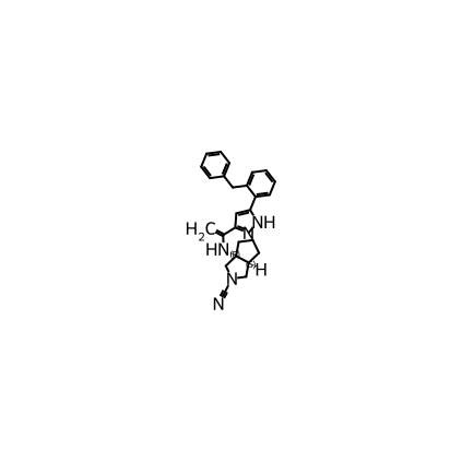 C=C(N[C@]12CCC[C@H]1CN(C#N)C2)c1cc(-c2ccccc2Cc2ccccc2)[nH]n1